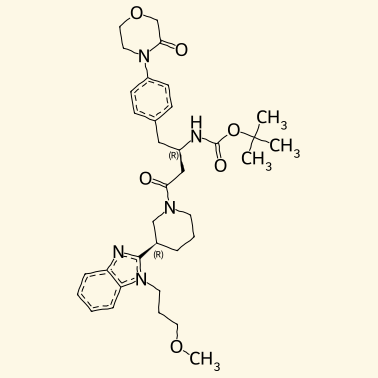 COCCCn1c([C@@H]2CCCN(C(=O)C[C@@H](Cc3ccc(N4CCOCC4=O)cc3)NC(=O)OC(C)(C)C)C2)nc2ccccc21